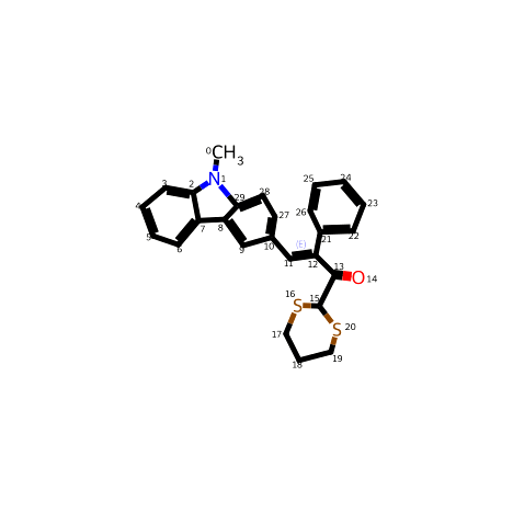 Cn1c2ccccc2c2cc(/C=C(/C(=O)C3SCCCS3)c3ccccc3)ccc21